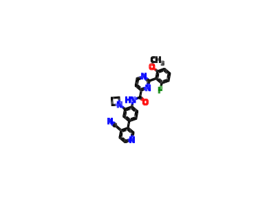 COc1cccc(F)c1-c1nccc(C(=O)Nc2ccc(-c3cnccc3C#N)cc2N2CCC2)n1